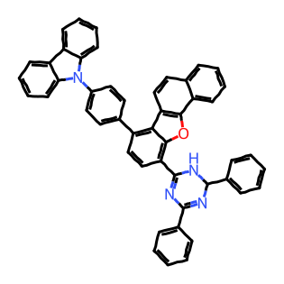 c1ccc(C2=NC(c3ccccc3)NC(c3ccc(-c4ccc(-n5c6ccccc6c6ccccc65)cc4)c4c3oc3c5ccccc5ccc34)=N2)cc1